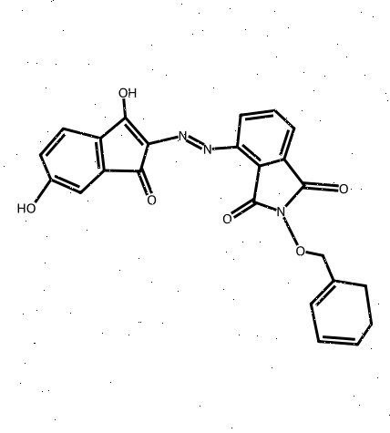 O=C1C(N=Nc2cccc3c2C(=O)N(OCC2=CC=CCC2)C3=O)=C(O)c2ccc(O)cc21